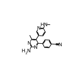 CNc1ccc(-c2c(C)nc(N)nc2-c2ccc(C#N)cc2)cn1